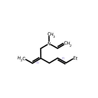 C=CN(C)C/C(=C\C)C/C=C/CC